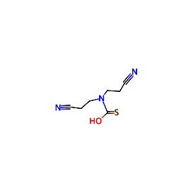 N#CCCN(CCC#N)C(O)=S